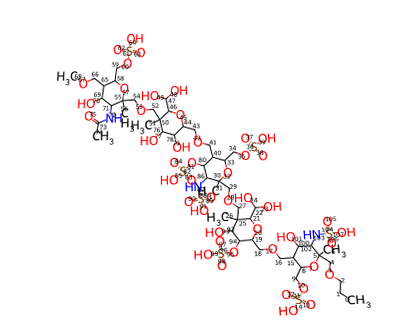 CCCOCC1(C)OC(COS(=O)(=O)O)C(COCC2OC(C(O)O)C(C)(COCC3(C)OC(COS(=O)(=O)O)C(COCC4OC(C(O)O)C(C)(COCC5(C)OC(COS(=O)(=O)O)C(COC)C(O)C5NC(C)=O)C(O)C4O)C(OS(=O)(=O)O)C3NS(=O)(=O)O)C(O)C2OS(=O)(=O)O)C(O)C1NS(=O)(=O)O